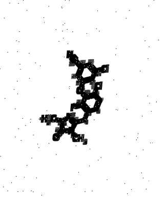 [CH2]n1nc(Cc2ccc(Cl)c(Oc3cc(Cl)cc(C#N)c3)c2F)n(C)c1=O